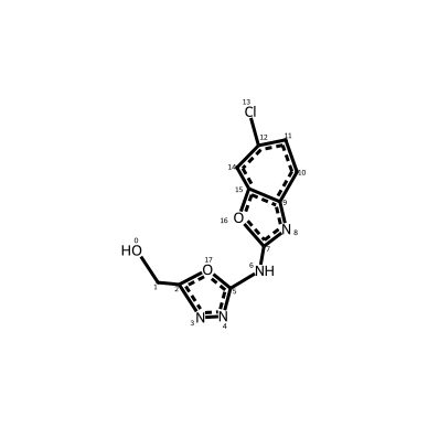 OCc1nnc(Nc2nc3ccc(Cl)cc3o2)o1